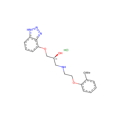 COc1ccccc1OCCNC[C@H](O)COc1cccc2[nH]nnc12.Cl